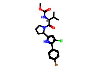 COC(=O)N[C@H](C(=O)N1CCCC1c1cc(Cl)c(-c2ccc(Br)cc2)[nH]1)C(C)C